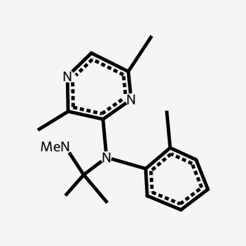 CNC(C)(C)N(c1ccccc1C)c1nc(C)cnc1C